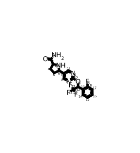 NC(=O)C1CCC(c2cnc(OC(c3ccccc3F)C(F)(F)F)nc2)N1